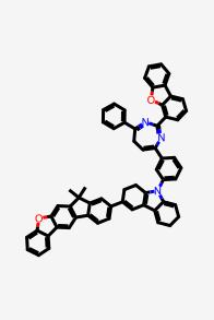 CC1(C)c2cc(C3=Cc4c(n(-c5cccc(C6=CCC(c7ccccc7)=NC(c7cccc8c7oc7ccccc78)=N6)c5)c5c4=CCCC=5)CC3)ccc2-c2cc3c(cc21)oc1ccccc13